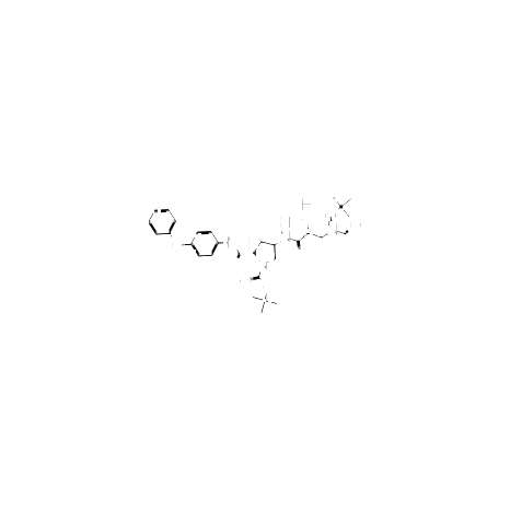 CC(C)(C)OC(=O)N1CC(NC(=O)[C@@H](O)CN(C=O)OC(C)(C)C)C[C@H]1C(=O)Nc1ccc(Oc2ccccc2)cc1